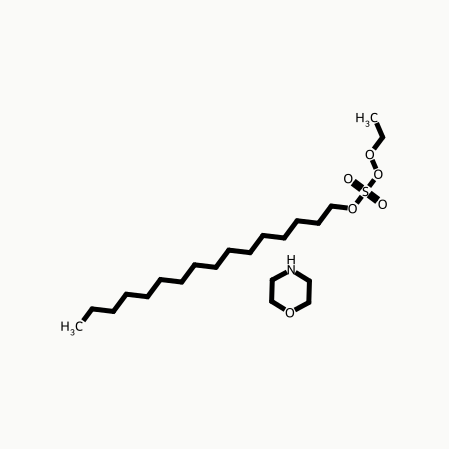 C1COCCN1.CCCCCCCCCCCCCCCCOS(=O)(=O)OOCC